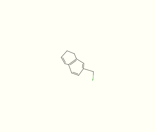 FCc1ccc2c(c1)CCC=C2